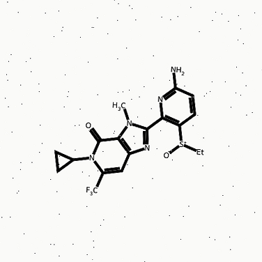 CC[S+]([O-])c1ccc(N)nc1-c1nc2cc(C(F)(F)F)n(C3CC3)c(=O)c2n1C